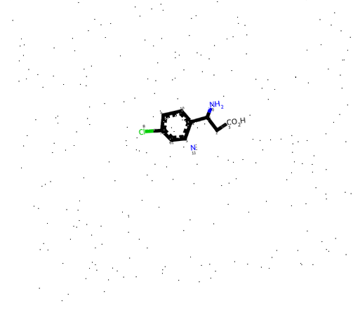 NC(CC(=O)O)c1ccc(Cl)cc1.[N]